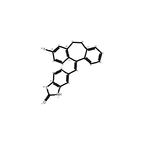 O=c1[nH]c2cc(/C=C3/c4ccccc4CCc4cc(F)ccc43)ccc2s1